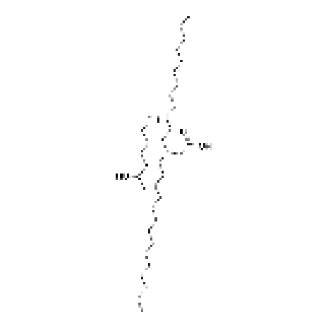 CC(O)CCCCO.CCCCCCCCCCCCCCC(CCCCCCCCCCCC)CC(=O)O